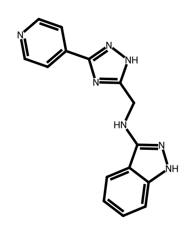 c1ccc2c(NCc3nc(-c4ccncc4)n[nH]3)n[nH]c2c1